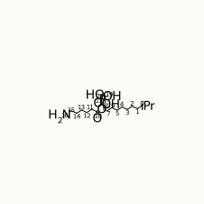 CC(C)CCCCCCCOC(=O)CCCCCN.O=P(O)(O)O